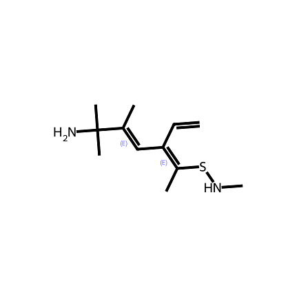 C=CC(/C=C(\C)C(C)(C)N)=C(/C)SNC